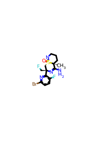 C[C@@]12CCCN=[S@@]1(=O)C[C@@](CF)(c1nc(Br)ccc1F)N=C2N